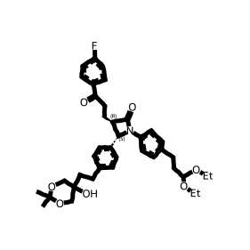 CCOC(CCc1ccc(N2C(=O)[C@H](CCC(=O)c3ccc(F)cc3)[C@H]2c2ccc(CCC3(O)COC(C)(C)OC3)cc2)cc1)OCC